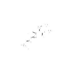 CON=C(C(=O)OC)c1csc(N=CN(C)C)n1